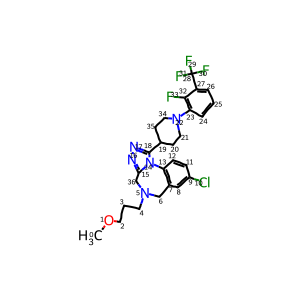 COCCCN1Cc2cc(Cl)ccc2-n2c(nnc2C2CCN(c3cccc(C(F)(F)F)c3F)CC2)C1